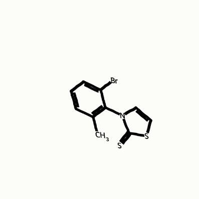 Cc1cccc(Br)c1-n1ccsc1=S